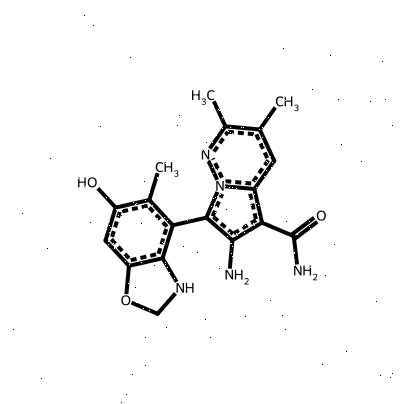 Cc1cc2c(C(N)=O)c(N)c(-c3c(C)c(O)cc4c3NCO4)n2nc1C